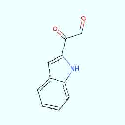 O=CC(=O)c1cc2ccccc2[nH]1